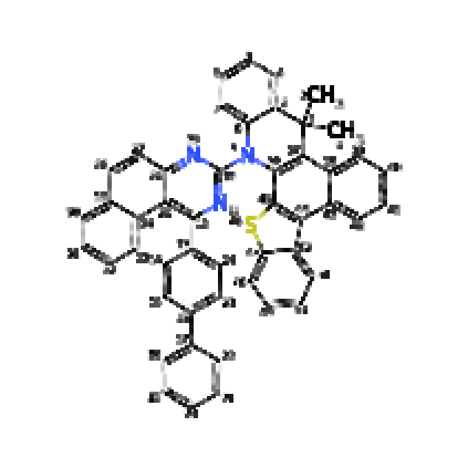 CC1(C)c2ccccc2N(c2nc(-c3ccc(-c4ccccc4)cc3)c3c(ccc4ccccc43)n2)c2c1c1ccccc1c1c2sc2ccccc21